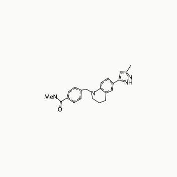 CNC(=O)c1ccc(CN2CCCc3cc(-c4cc(C)n[nH]4)ccc32)cc1